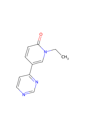 CCn1cc(-c2ccncn2)ccc1=O